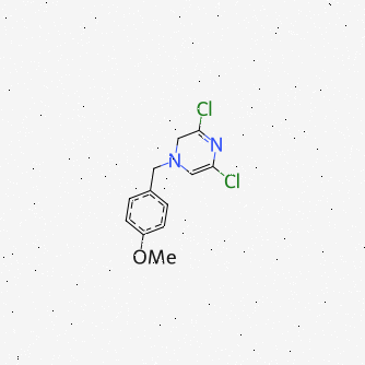 COc1ccc(CN2C=C(Cl)N=C(Cl)C2)cc1